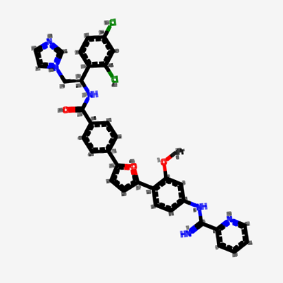 CC(C)Oc1cc(NC(=N)c2ccccn2)ccc1-c1ccc(-c2ccc(C(=O)N[C@@H](Cn3ccnc3)c3ccc(Cl)cc3Cl)cc2)o1